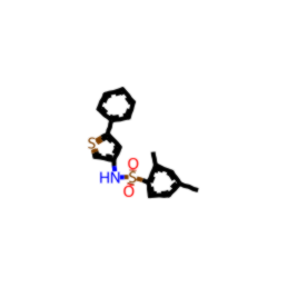 Cc1ccc(S(=O)(=O)Nc2csc(-c3ccccc3)c2)c(C)c1